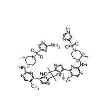 C[C@@H]1CN(S(=O)(=O)c2c[nH]cn2)CC[C@@H]1Nc1ncc(C(F)(F)F)c(-c2cnc(C(C)(O)C(C)(O)c3ncc(-c4nc(N[C@H]5CCN(S(=O)(=O)c6cnc(N)s6)C[C@H]5C)ncc4C(F)(F)F)s3)s2)n1